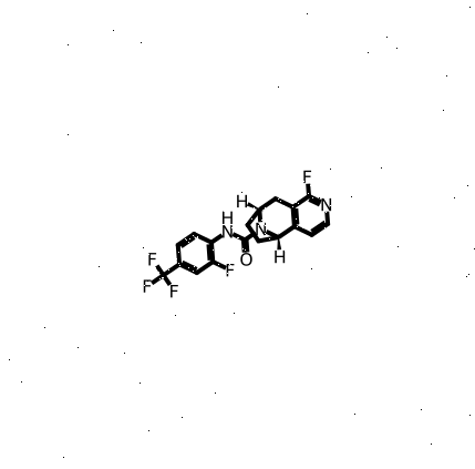 O=C(Nc1ccc(C(F)(F)F)cc1F)N1[C@@H]2CC[C@H]1c1ccnc(F)c1C2